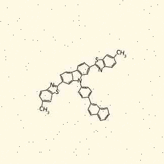 Cc1ccc2nc(-c3ccc4c5ccc(-c6nc7ccc(C)cc7s6)cc5n(-c5ccc(-c6ccc7ccccc7c6)cc5)c4c3)sc2c1